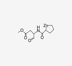 COC(=O)CC(C=O)NC(=O)[CH]1CC[CH2][Zn]1